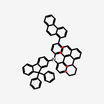 c1ccc(C2(c3ccccc3)c3ccccc3-c3ccc(N(c4ccc(-c5cccc6c5ccc5ccccc56)cc4)c4ccccc4-c4cccc5cccc(C6CCCCC6)c45)cc32)cc1